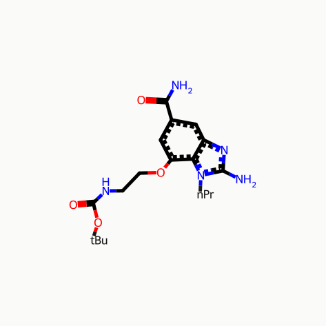 CCCn1c(N)nc2cc(C(N)=O)cc(OCCNC(=O)OC(C)(C)C)c21